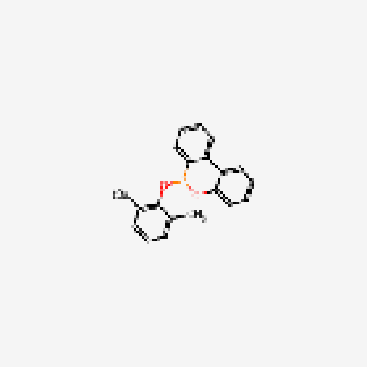 Cc1cccc(C(C)(C)C)c1OP1Oc2ccccc2-c2ccccc21